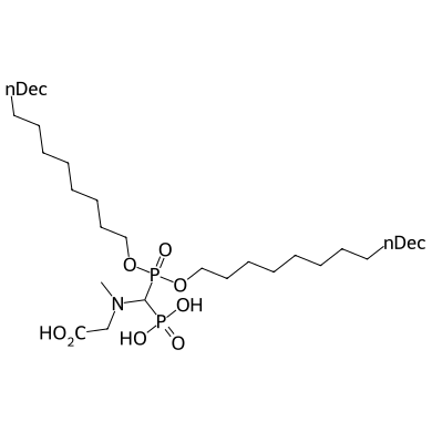 CCCCCCCCCCCCCCCCCCOP(=O)(OCCCCCCCCCCCCCCCCCC)C(N(C)CC(=O)O)P(=O)(O)O